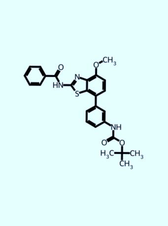 COc1ccc(-c2cccc(NC(=O)OC(C)(C)C)c2)c2sc(NC(=O)c3ccccc3)nc12